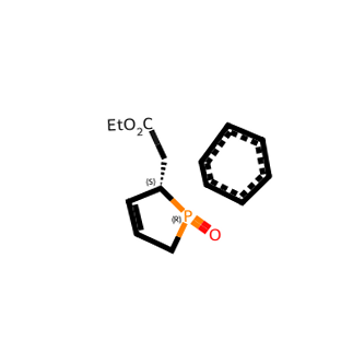 CCOC(=O)C[C@H]1C=CC[P@]1(=O)c1ccccc1